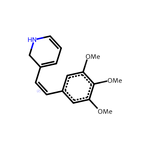 COc1cc(/C=C\C2=CC=CNC2)cc(OC)c1OC